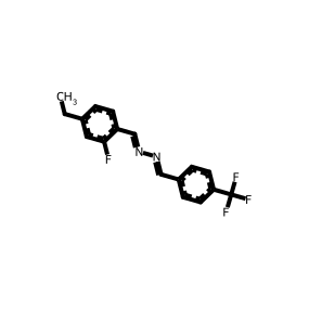 CCc1ccc(C=NN=Cc2ccc(C(F)(F)F)cc2)c(F)c1